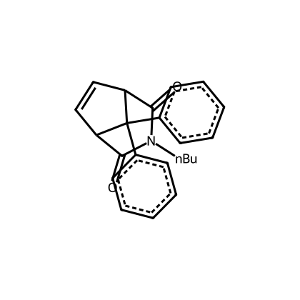 CCCCN1C(=O)C2C=CC(C1=O)C2(c1ccccc1)c1ccccc1